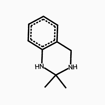 CC1(C)NCc2ccccc2N1